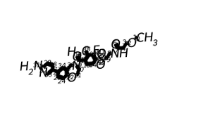 CCOCCC(=O)NCCS(=O)(=O)c1ccc(C(=O)N2CCOc3ccc(-c4ccc(N)nc4)cc3C2)c(C)c1F